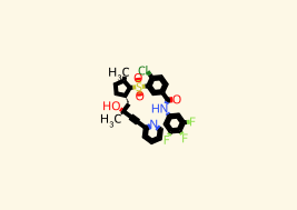 CC1CC[C@@H](C[C@@](C)(O)C#Cc2ccccn2)C1S(=O)(=O)c1cc(C(=O)Nc2cc(F)c(F)c(F)c2)ccc1Cl